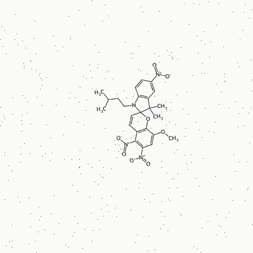 COc1cc([N+](=O)[O-])c([N+](=O)[O-])c2c1OC1(C=C2)N(CCC(C)C)c2ccc([N+](=O)[O-])cc2C1(C)C